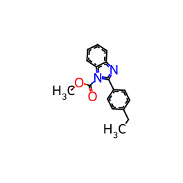 CCc1ccc(-c2nc3ccccc3n2C(=O)OC)cc1